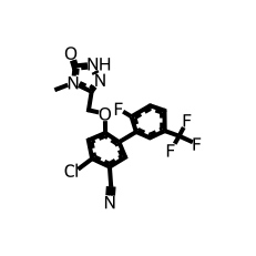 Cn1c(COc2cc(Cl)c(C#N)cc2-c2cc(C(F)(F)F)ccc2F)n[nH]c1=O